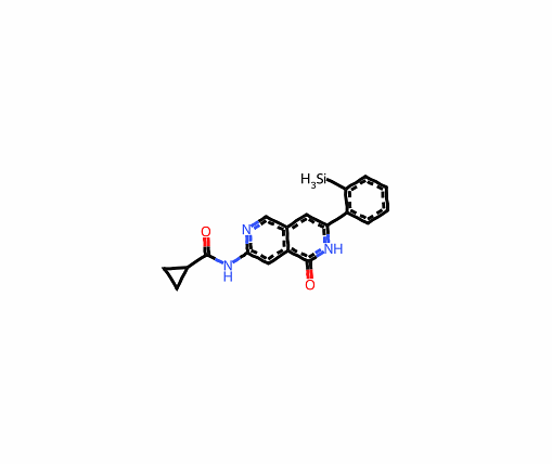 O=C(Nc1cc2c(=O)[nH]c(-c3ccccc3[SiH3])cc2cn1)C1CC1